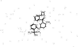 C[C@@H]1CC[C@@H](Oc2ncccc2C(C)(C)O)CN1C(=O)c1ccccc1C1CCC1